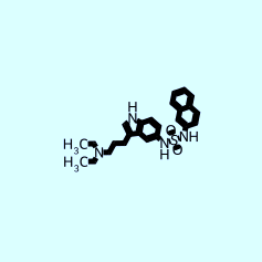 CCN(CC)CCCc1c[nH]c2ccc(NS(=O)(=O)Nc3ccc4ccccc4c3)cc12